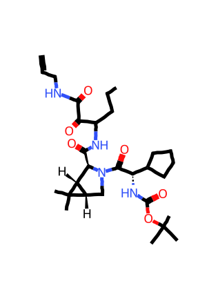 C=CCNC(=O)C(=O)C(CCC)NC(=O)[C@@H]1[C@@H]2[C@H](CN1C(=O)[C@@H](NC(=O)OC(C)(C)C)C1CCCC1)C2(C)C